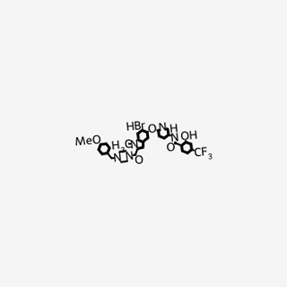 Br.COc1ccc(CN2CCN(C(=O)c3cc4cc(Oc5ccc(NC(=O)c6ccc(C(F)(F)F)cc6O)cn5)ccc4n3C)CC2)cc1